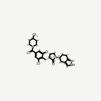 O=C(c1cc(Cl)c(C[C@@H]2CCN([C@H]3CCc4n[nH]cc4C3)C2=O)c(Cl)c1)N1CCC(C(F)(F)F)CC1